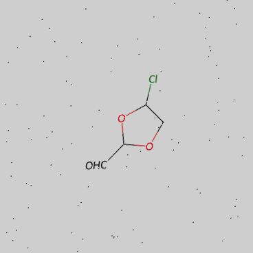 O=CC1OCC(Cl)O1